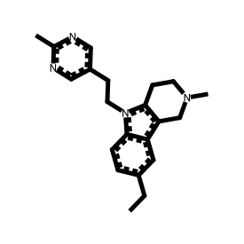 CCc1ccc2c(c1)c1c(n2CCc2cnc(C)nc2)CCN(C)C1